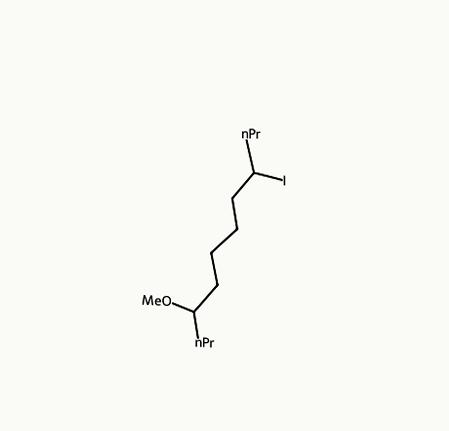 CCCC(I)CCCCC(CCC)OC